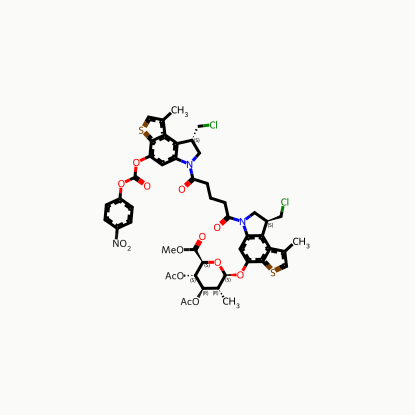 COC(=O)[C@H]1O[C@@H](Oc2cc3c(c4c(C)csc24)[C@H](CCl)CN3C(=O)CCCC(=O)N2C[C@@H](CCl)c3c2cc(OC(=O)Oc2ccc([N+](=O)[O-])cc2)c2scc(C)c32)[C@H](C)[C@@H](OC(C)=O)[C@@H]1OC(C)=O